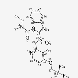 [CH2]CN(C)C(=O)n1c([S@+]([O-])Cc2nccc(OCC(F)(F)F)c2C)nc2ccccc21